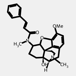 COc1ccc2c3c1OC1C(N(C)C(=O)/C=C/c4ccccc4)CC[C@@]4(O)[C@@H](C2)N(C)CC[C@]314